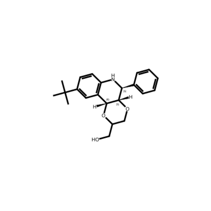 CC(C)(C)c1ccc2c(c1)[C@H]1OC(CO)CO[C@H]1[C@H](c1ccccc1)N2